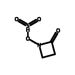 O=C1CCN1O[SH](=O)=O